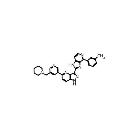 Cc1cccc(-c2nccc3[nH]c(-c4n[nH]c5ccc(-c6cncc(CN7CCCCC7)c6)nc45)nc23)c1